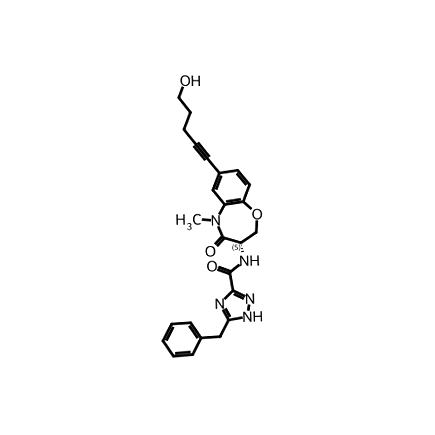 CN1C(=O)[C@@H](NC(=O)c2n[nH]c(Cc3ccccc3)n2)COc2ccc(C#CCCCO)cc21